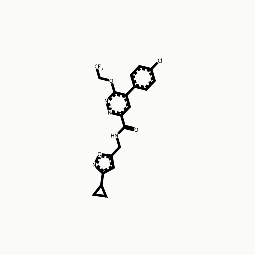 O=C(NCc1cc(C2CC2)no1)c1cc(-c2ccc(Cl)cc2)c(OCC(F)(F)F)nn1